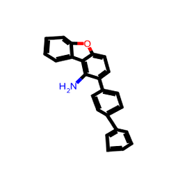 Nc1c(-c2ccc(-c3ccccc3)cc2)ccc2oc3ccccc3c12